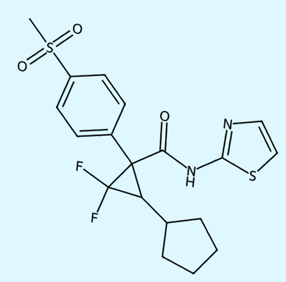 CS(=O)(=O)c1ccc(C2(C(=O)Nc3nccs3)C(C3CCCC3)C2(F)F)cc1